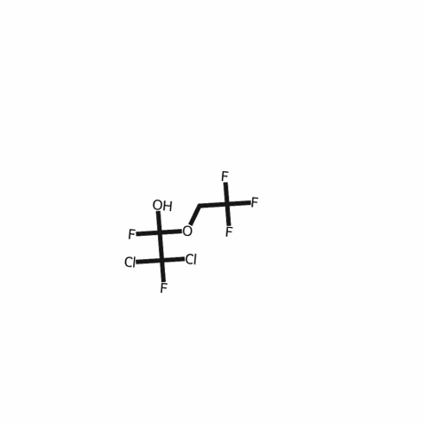 OC(F)(OCC(F)(F)F)C(F)(Cl)Cl